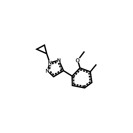 COc1c(C)cccc1-c1cnn(C2CC2)n1